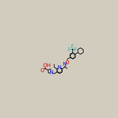 CCc1nc(C(C)=NOCc2ccc(C3CCCCC3)c(C(F)(F)F)c2)ccc1CN1CC(C(=O)O)C1